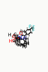 [2H]c1cc(C(F)(F)F)ccc1C1=NC2(N(C([2H])(CC)C(=O)O)C1=O)C([2H])([2H])C([2H])([2H])C([2H])([2H])C([2H])([2H])C2([2H])[2H]